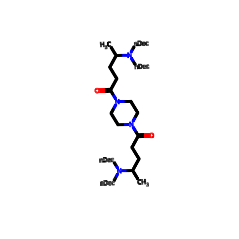 CCCCCCCCCCN(CCCCCCCCCC)C(C)CCC(=O)N1CCN(C(=O)CCC(C)N(CCCCCCCCCC)CCCCCCCCCC)CC1